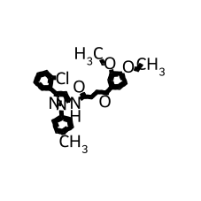 CCOc1ccc(C(=O)CCC(=O)Nc2cc(-c3ccccc3Cl)nn2-c2ccc(C)cc2)cc1OCC